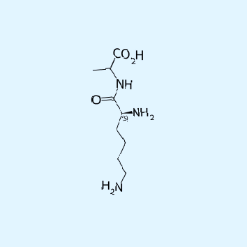 CC(NC(=O)[C@@H](N)CCCCN)C(=O)O